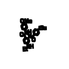 CCNc1ccc(C(=O)Nc2ccc(OC)cc2)c(NC(=O)c2ccc(C(C)(C)C)cc2)c1